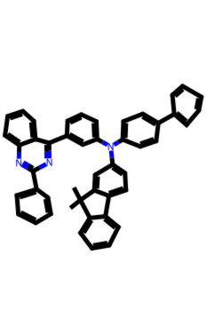 CC1(C)c2ccccc2-c2ccc(N(c3ccc(-c4ccccc4)cc3)c3cccc(-c4nc(-c5ccccc5)nc5ccccc45)c3)cc21